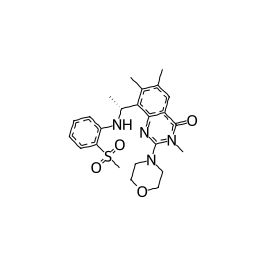 Cc1cc2c(=O)n(C)c(N3CCOCC3)nc2c([C@@H](C)Nc2ccccc2S(C)(=O)=O)c1C